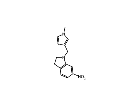 Cn1cnc(CN2CCc3ccc([N+](=O)[O-])cc32)c1